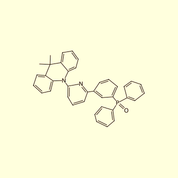 CC1(C)c2ccccc2N(c2cccc(-c3cccc(P(=O)(c4ccccc4)c4ccccc4)c3)n2)c2ccccc21